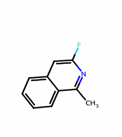 Cc1nc(F)cc2ccccc12